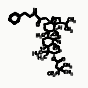 C=C(C)[C@@H]1CC[C@]2(CC(=O)NCCc3ccccc3)CC[C@]3(C)[C@H](CC[C@@H]4[C@@]5(C)CC[C@H](OC(=O)CC(C)(C)C(=O)O)C(C)(C)[C@@H]5CC[C@]43C)[C@@H]12